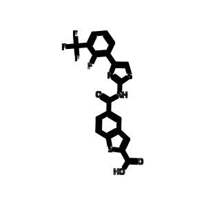 O=C(Nc1nc(-c2cccc(C(F)(F)F)c2F)cs1)c1ccc2sc(C(=O)O)cc2c1